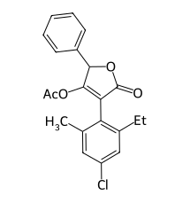 CCc1cc(Cl)cc(C)c1C1=C(OC(C)=O)C(c2ccccc2)OC1=O